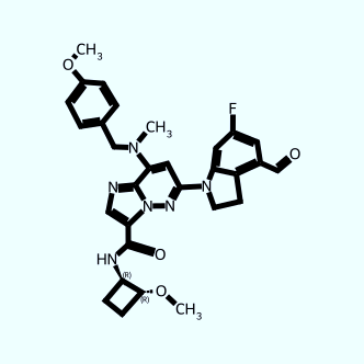 COc1ccc(CN(C)c2cc(N3CCc4c(C=O)cc(F)cc43)nn3c(C(=O)N[C@@H]4CC[C@H]4OC)cnc23)cc1